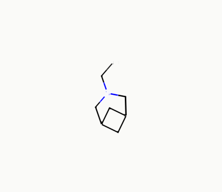 CC(C)CN1CC2CC(C2)C1